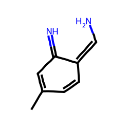 CC1=CC(=N)/C(=C\N)C=C1